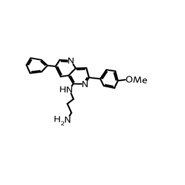 COc1ccc(-c2cc3ncc(-c4ccccc4)cc3c(NCCCN)n2)cc1